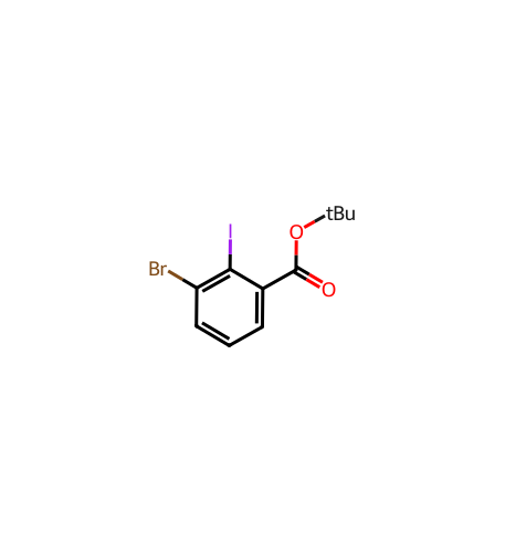 CC(C)(C)OC(=O)c1cccc(Br)c1I